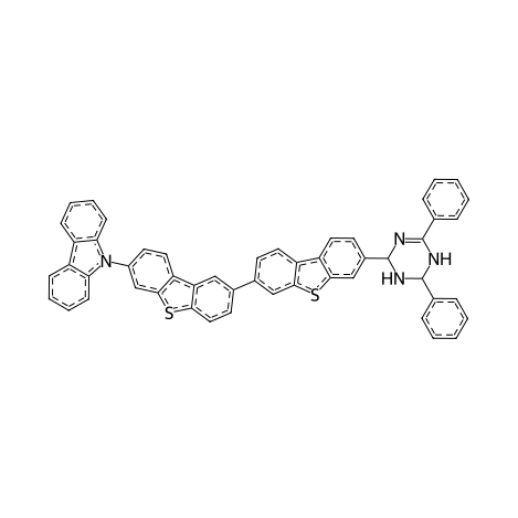 c1ccc(C2=NC(c3ccc4c(c3)sc3cc(-c5ccc6sc7cc(-n8c9ccccc9c9ccccc98)ccc7c6c5)ccc34)NC(c3ccccc3)N2)cc1